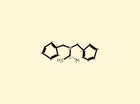 CC(=O)[C@H](C)N(Cc1ccccc1)Cc1ccccc1